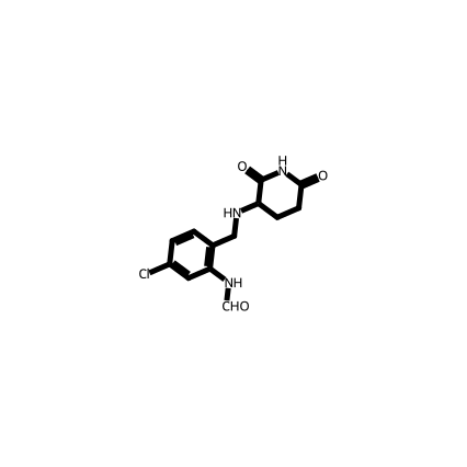 O=CNc1cc(Cl)ccc1CNC1CCC(=O)NC1=O